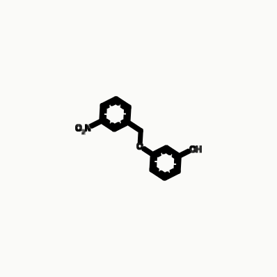 O=[N+]([O-])c1cccc(COc2cccc(O)c2)c1